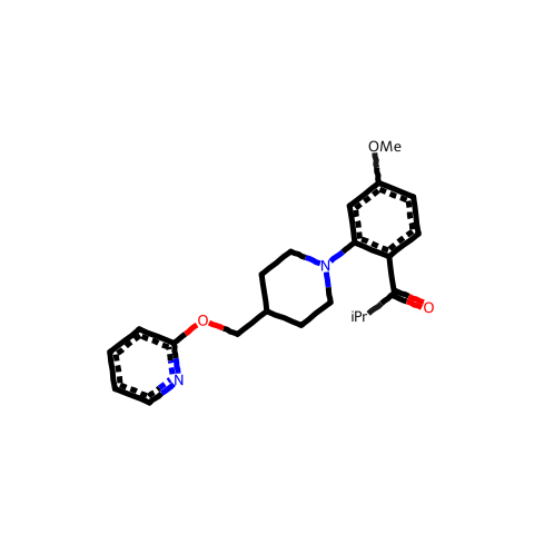 COc1ccc(C(=O)C(C)C)c(N2CCC(COc3ccccn3)CC2)c1